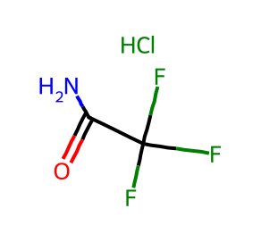 Cl.NC(=O)C(F)(F)F